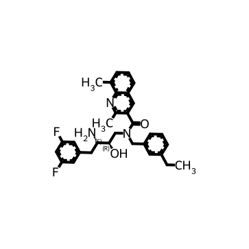 CCc1cccc(CN(C[C@@H](O)[C@@H](N)Cc2cc(F)cc(F)c2)C(=O)c2cc3cccc(C)c3nc2C)c1